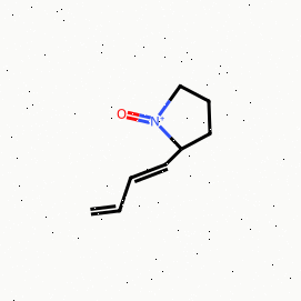 C=CC=CC1CCC[N+]1=O